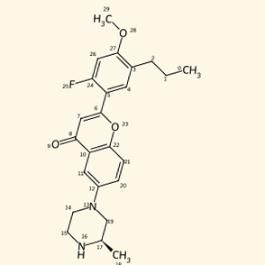 CCCc1cc(-c2cc(=O)c3cc(N4CCN[C@H](C)C4)ccc3o2)c(F)cc1OC